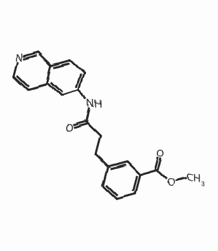 COC(=O)c1cccc(CCC(=O)Nc2ccc3cnccc3c2)c1